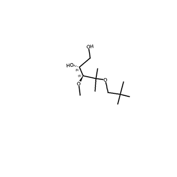 CO[C@@H]([C@H](O)CO)C(C)(C)OCC(C)(C)C